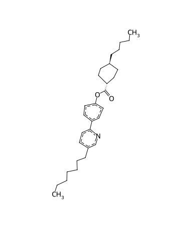 CCCCCCCc1ccc(-c2ccc(OC(=O)[C@H]3CC[C@H](CCCCC)CC3)cc2)nc1